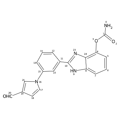 NC(=O)Oc1cccc2[nH]c(-c3cccc(-n4ccc(C=O)c4)c3)nc12